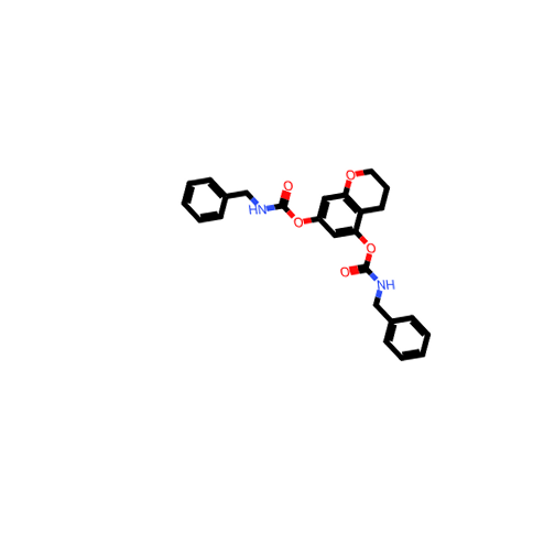 O=C(NCc1ccccc1)Oc1cc2c(c(OC(=O)NCc3ccccc3)c1)CCCO2